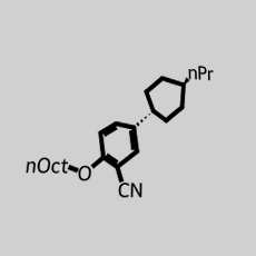 CCCCCCCCOc1ccc([C@H]2CC[C@H](CCC)CC2)cc1C#N